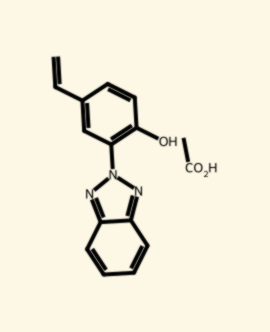 C=Cc1ccc(O)c(-n2nc3ccccc3n2)c1.CC(=O)O